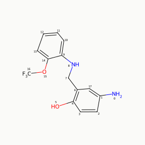 Nc1ccc(O)c(CNc2ccccc2OC(F)(F)F)c1